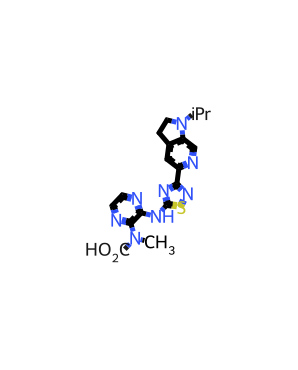 CC(C)N1CCc2cc(-c3nsc(Nc4nccnc4N(C)C(=O)O)n3)ncc21